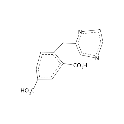 O=C(O)c1ccc(Cc2cnccn2)c(C(=O)O)c1